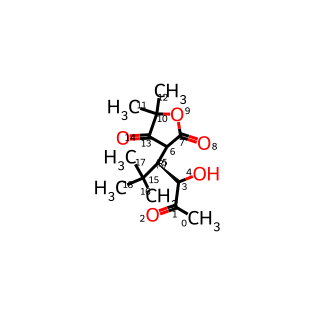 CC(=O)C(O)[C@H](C1C(=O)OC(C)(C)C1=O)C(C)(C)C